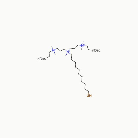 CCCCCCCCCCCC[N+](C)(C)CCC[N+](C)(CCCCCCCCCCCS)CCC[N+](C)(C)CCCCCCCCCCCC